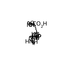 C=C[C@@H]1C[C@]1(NC(=O)[C@@H]1C[C@@]2(CN1)CC2(C)C)C(=O)NS(=O)(=O)c1ccccc1NCCCCCCCC(NC(=O)OC1CCCC1)C(=O)O